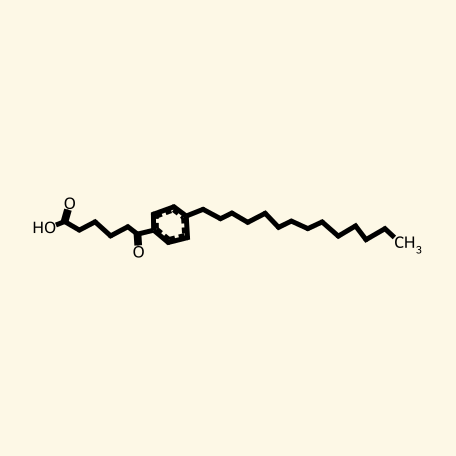 CCCCCCCCCCCCCCc1ccc(C(=O)CCCCC(=O)O)cc1